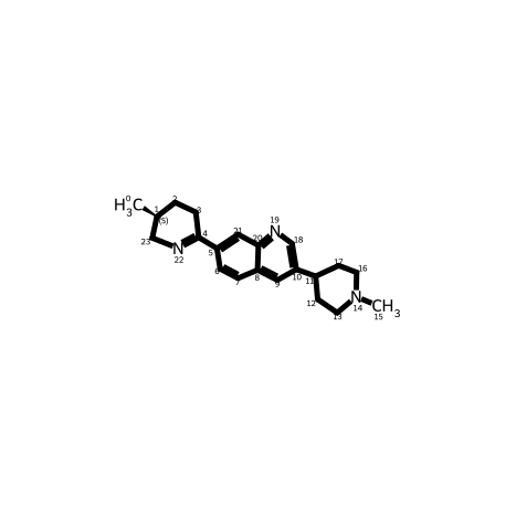 C[C@H]1CCC(c2ccc3cc(C4CCN(C)CC4)cnc3c2)=NC1